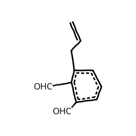 C=CCc1cccc(C=O)c1C=O